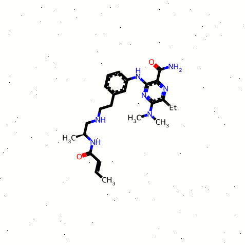 CC=CC(=O)N[C@@H](C)CNCCc1cccc(Nc2nc(N(C)C)c(CC)nc2C(N)=O)c1